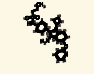 CCCS(=O)(=O)Nc1ccc(-c2c(N)c3cc(Oc4ccccn4)ccc3n2C2CCC2)cc1